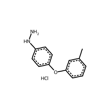 Cc1cccc(Oc2ccc(NN)cc2)c1.Cl